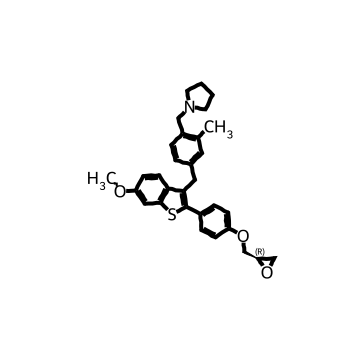 COc1ccc2c(Cc3ccc(CN4CCCC4)c(C)c3)c(-c3ccc(OC[C@H]4CO4)cc3)sc2c1